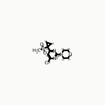 CS(=O)(=O)C1(c2cc(Cl)nc(N3CCOCC3)n2)CC1